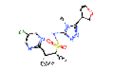 CCCn1c(NS(=O)(=O)[C@@H](C)[C@H](OC)c2ncc(Cl)cn2)nnc1[C@H]1CCOC1